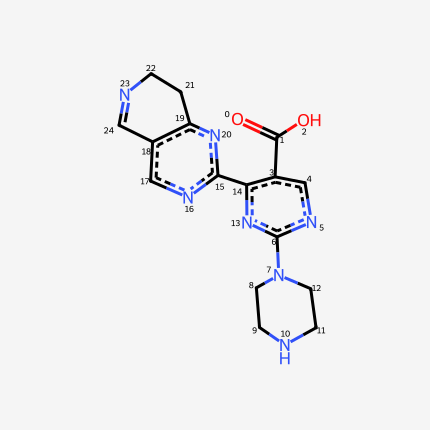 O=C(O)c1cnc(N2CCNCC2)nc1-c1ncc2c(n1)CCN=C2